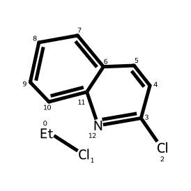 CCCl.Clc1ccc2ccccc2n1